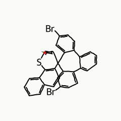 Brc1ccc2c(c1)C1(c3ccccc3Sc3c1ccc1ccccc31)c1cc(Br)ccc1-c1ccccc1-2